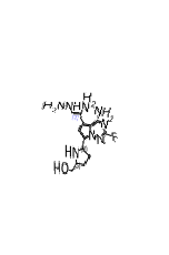 NN/C=C(\N)c1cc([C@H]2CC[C@@H](CO)N2)n2nc(F)nc(N)c12